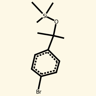 CC(C)(O[Si](C)(C)C)c1ccc(Br)cc1